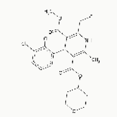 COC(=O)C1=C(CF)NC(C)=C(C(=O)OC2CCOCC2)C1c1cccc(Cl)c1Cl